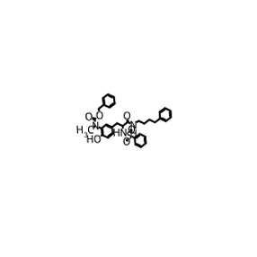 CN(C(=O)OCc1ccccc1)c1cc(CC(NS(=O)(=O)c2ccccc2)C(=O)NCCCCc2ccccc2)ccc1O